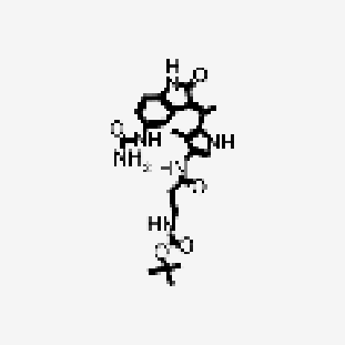 CC(=C1C(=O)Nc2ccc(NC(N)=O)cc21)c1[nH]cc(NC(=O)CCNC(=O)OC(C)(C)C)c1C